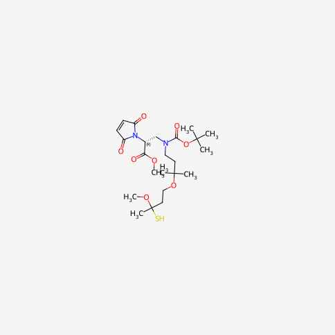 COC(=O)[C@@H](CN(CCC(C)(C)OCCC(C)(S)OC)C(=O)OC(C)(C)C)N1C(=O)C=CC1=O